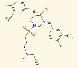 C#CCN(C)CCCS(=O)(=O)N1C/C(=C\c2ccc(F)c(C(F)(F)F)c2)C(=O)/C(=C/c2ccc(F)c(C(F)(F)F)c2)C1